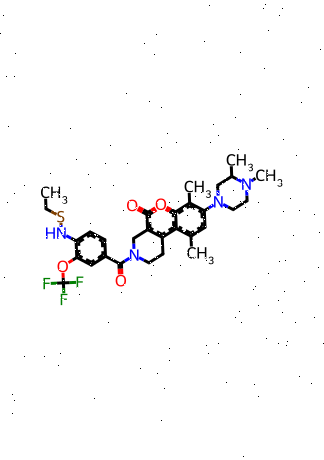 CCSNc1ccc(C(=O)N2CCc3c(c(=O)oc4c(C)c(N5CCN(C)C(C)C5)cc(C)c34)C2)cc1OC(F)(F)F